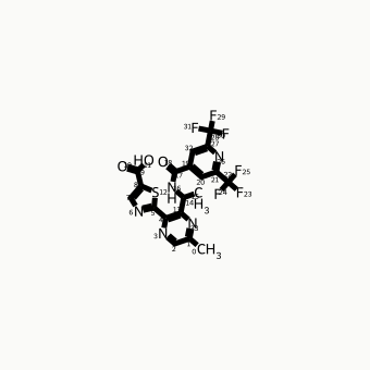 Cc1cnc(-c2ncc(C(=O)O)s2)c(C(C)NC(=O)c2cc(C(F)(F)F)nc(C(F)(F)F)c2)n1